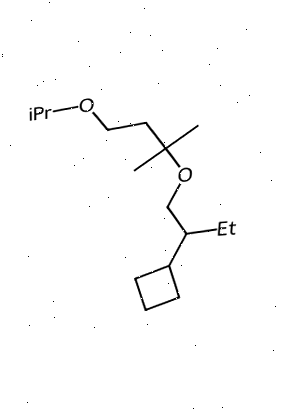 CCC(COC(C)(C)CCOC(C)C)C1CCC1